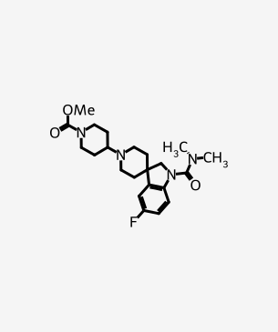 COC(=O)N1CCC(N2CCC3(CC2)CN(C(=O)N(C)C)c2ccc(F)cc23)CC1